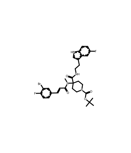 CN(C(=O)C=Cc1ccc(F)c(Br)c1)C1(C(=O)NCCc2c[nH]c3ccc(F)cc23)CCN(C(=O)OC(C)(C)C)CC1